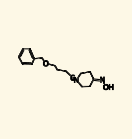 ON=C1CCN(CCCCOCc2ccccc2)CC1